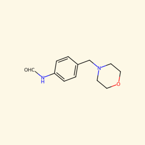 O=CNc1ccc(CN2CCOCC2)cc1